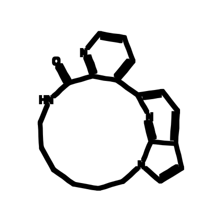 O=C1NCCCCCCn2ccc3ccc(nc32)-c2cccnc21